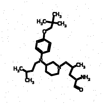 CC(C)CCN(c1ccc(OCC(C)(C)C)cc1)C1CCCN(CC(C)CC(N)C=O)C1